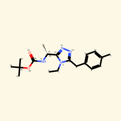 CCn1c(Cc2ccc(C)cc2)nnc1[C@@H](C)NC(=O)OC(C)(C)C